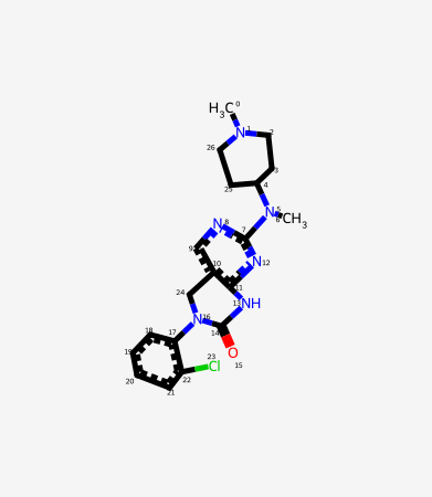 CN1CCC(N(C)c2ncc3c(n2)NC(=O)N(c2ccccc2Cl)C3)CC1